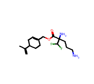 C=C(C)C1CC=C(COC(=O)C(N)(CCCN)C(F)F)CC1